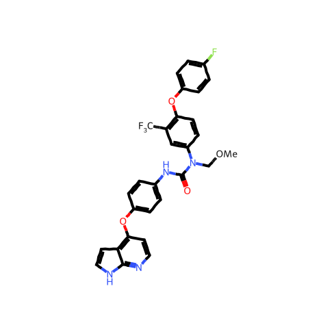 COCN(C(=O)Nc1ccc(Oc2ccnc3[nH]ccc23)cc1)c1ccc(Oc2ccc(F)cc2)c(C(F)(F)F)c1